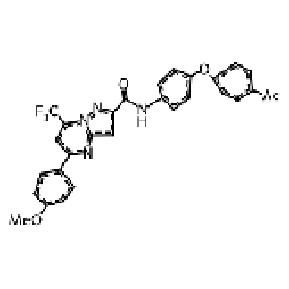 COc1ccc(-c2cc(C(F)(F)F)n3nc(C(=O)Nc4ccc(Oc5ccc(C(C)=O)cc5)cc4)cc3n2)cc1